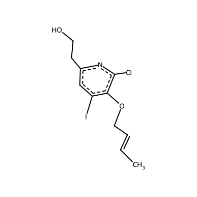 CC=CCOc1c(I)cc(CCO)nc1Cl